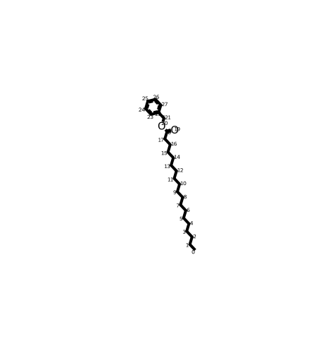 CCCCCCCCCCCCCCCCCCC(=O)O[CH]c1ccccc1